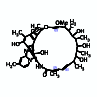 COC1/C=C/O[C@@]2(C)Oc3c(C)c(O)c4c(O)c(c5c(nc6cc(C)ccn65)c4c3C2=O)NC(=O)/C(C)=C\C=C\C(C)C(O)C(C)C(O)C(C)C(O)C1C